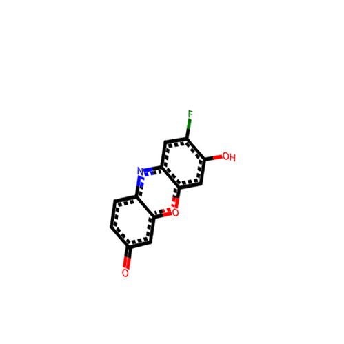 O=c1ccc2nc3cc(F)c(O)cc3oc-2c1